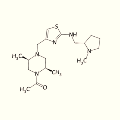 CC(=O)N1C[C@@H](C)N(Cc2csc(NC[C@@H]3CCCN3C)n2)C[C@H]1C